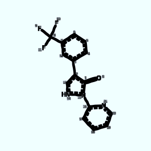 O=c1c(-c2cccc(C(F)(F)F)c2)c[nH]n1-c1ccccn1